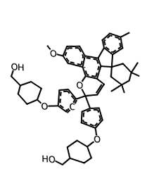 COc1ccc2c3c(c4c(c2c1)OC(c1ccc(OC2CCC(CO)CC2)cc1)(c1ccc(OC2CCC(CO)CC2)cc1)C=C4)C1(CC(C)(C)CC(C)(C)C1)c1cc(C)ccc1-3